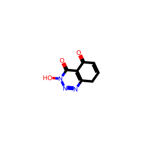 O=C1C=CCc2nnn(O)c(=O)c21